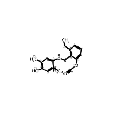 CCc1cccc(OC#N)c1COc1cc(C)c(O)cc1C